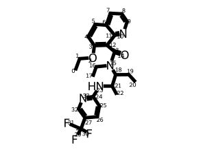 CCOc1ccc2cccnc2c1C(=O)N(CC)C(CC)C(C)Nc1ccc(C(F)(F)F)cn1